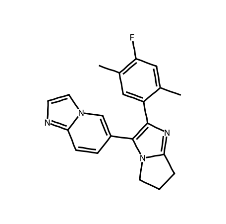 Cc1cc(-c2nc3n(c2-c2ccc4nccn4c2)CCC3)c(C)cc1F